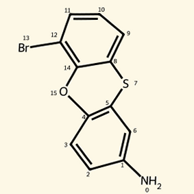 Nc1ccc2c(c1)Sc1cccc(Br)c1O2